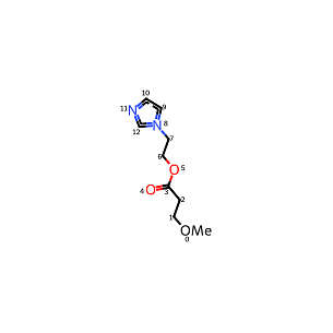 COCCC(=O)OCCn1ccnc1